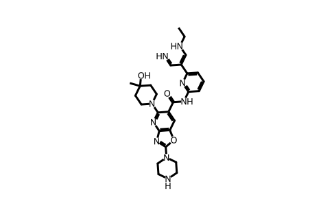 CCN/C=C(\C=N)c1cccc(NC(=O)c2cc3oc(N4CCNCC4)nc3nc2N2CCC(C)(O)CC2)n1